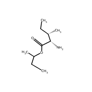 CCC(C)OC(=O)[C@@H](N)[C@@H](C)CC